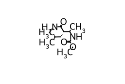 COC(=O)NC(C)[C@H](CC(C)C)C(N)=O